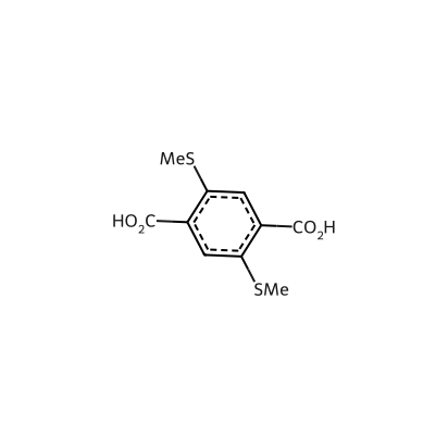 CSc1cc(C(=O)O)c(SC)cc1C(=O)O